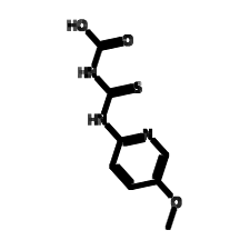 COc1ccc(NC(=S)NC(=O)O)nc1